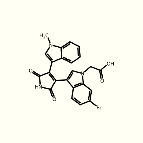 Cn1cc(C2=C(c3cn(CC(=O)O)c4cc(Br)ccc34)C(=O)NC2=O)c2ccccc21